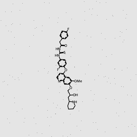 COc1cc2c(Oc3ccc(NC(=S)NC(=O)Cc4ccc(F)cc4)cc3F)ccnc2cc1OCC(O)CC1CCCCN1